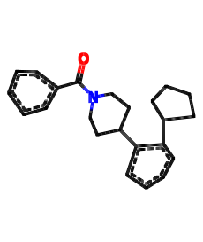 O=C(c1ccccc1)N1CCC(c2ccccc2C2CCCC2)CC1